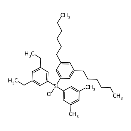 CCCCCCc1cc(CCCCCC)cc([Si](Cl)(c2cc(C)cc(C)c2)c2cc(CC)cc(CC)c2)c1